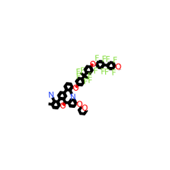 COc1c(F)c(F)c(-c2c(F)c(F)c(Oc3ccc(C(c4ccc(Oc5cccc(-c6ccc(-c7cccc(C)c7C#N)c(C(=O)c7ccc(OC8CCCCO8)cc7)c6)c5C#N)cc4)(C(F)(F)F)C(F)(F)F)cc3)c(F)c2F)c(F)c1F